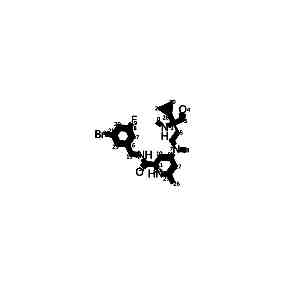 CN[C@](C=O)(CCN(C)C1=CC(C(=O)NCc2cc(F)cc(Br)c2)NC(C)=C1)C1CC1